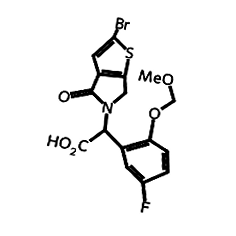 COCOc1ccc(F)cc1C(C(=O)O)N1Cc2sc(Br)cc2C1=O